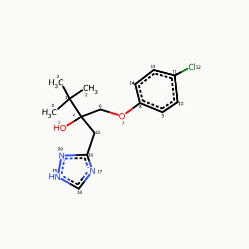 CC(C)(C)C(O)(COc1ccc(Cl)cc1)Cc1nc[nH]n1